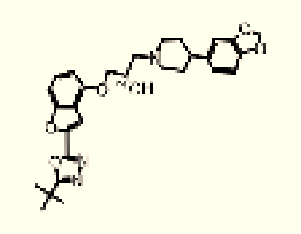 CC(C)(C)c1nnc(-c2cc3c(OC[C@@H](O)CN4CCC(c5ccc6c(c5)OCO6)CC4)cccc3o2)o1